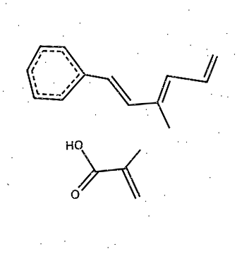 C=C(C)C(=O)O.C=CC=C(C)C=Cc1ccccc1